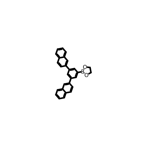 c1ccc2cc(-c3cc(B4OCCO4)cc(-c4ccc5ccccc5c4)c3)ccc2c1